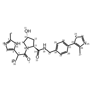 Cc1ncc(C(C(=O)N2C[C@H](O)C[C@H]2C(=O)NCc2ccc(-c3scnc3C)cc2)C(C)C)[nH]1